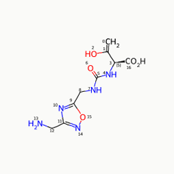 C=C(O)[C@H](NC(=O)NCc1nc(CN)no1)C(=O)O